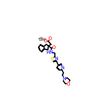 CC(C)(C)OC(=O)CC1(C(=O)NCc2nc(-c3ccc(CCN4CCOCC4)nc3)cs2)Cc2ccccc2C1